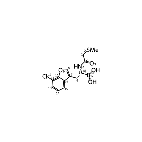 CSCC(=O)N[C@@H](Cc1coc2c(Cl)cccc12)B(O)O